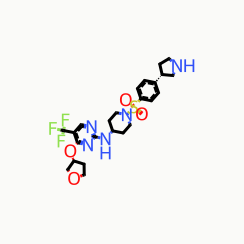 O=S(=O)(c1ccc([C@@H]2CCNC2)cc1)N1CCC(Nc2ncc(C(F)(F)F)c(O[C@H]3CCOC3)n2)CC1